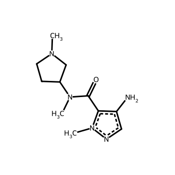 CN1CCC(N(C)C(=O)c2c(N)cnn2C)C1